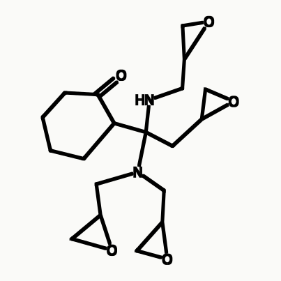 O=C1CCCCC1C(CC1CO1)(NCC1CO1)N(CC1CO1)CC1CO1